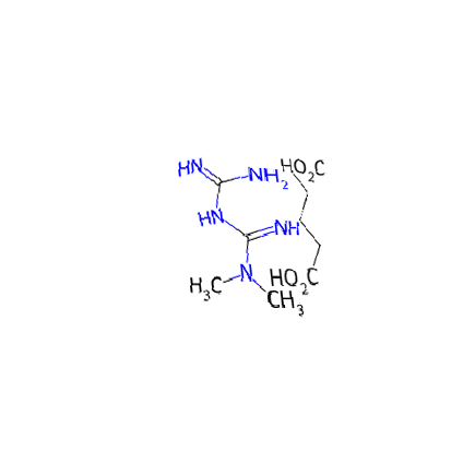 CN(C)C(=N)NC(=N)N.O=C(O)CCCC(=O)O